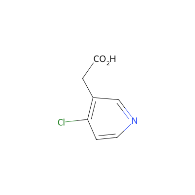 O=C(O)Cc1cnccc1Cl